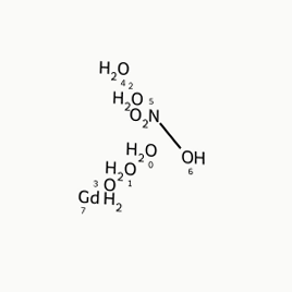 O.O.O.O.O.O=[N+]([O-])O.[Gd]